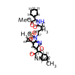 CNC(=O)c1c(-c2ccc(C)cc2)oc2nc(N(CCC[C@@H](C)C(=O)N[C@H](C(=O)OC)c3ccccc3)S(C)(=O)=O)c(C3CC3)cc12